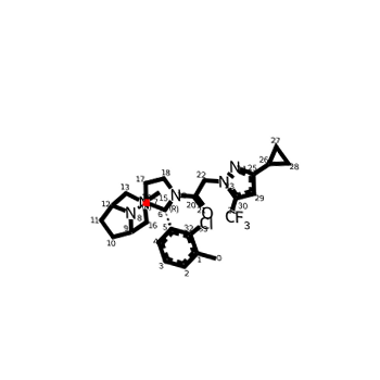 Cc1cccc([C@@H]2[C@H](N3C4CCC3CN(C)C4)CCN2C(=O)Cn2nc(C3CC3)cc2C(F)(F)F)c1Cl